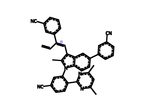 C=C/C(=C\c1c(C)n(-c2cc(C#N)ccc2-c2nc(C)cc(C)n2)c2ccc(-c3cccc(C#N)c3)cc12)c1cccc(C#N)c1